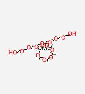 COC(C)COC(C)COC(C)COC(C)COC(C)CO.OCCOCCOCCOCCOCCOCCOCCOCCO